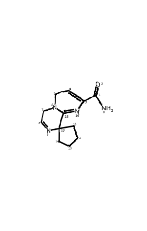 NC(=O)C1=CCN2CC=NC3(CCCC3)C2=N1